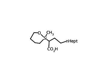 CCCCCCCCCC(C(=O)O)[Si]1(C)CCCCO1